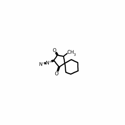 CC1C(=O)C(=[N+]=[N-])C(=O)C12CCCCC2